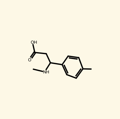 CNC(CC(=O)O)c1ccc(C)cc1